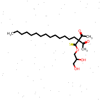 CCCCCCCCCCCCCCC(C(C)=O)(C(C)=O)C(=S)OCC(O)CO